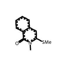 CSc1cc2ccccc2c(=O)n1C